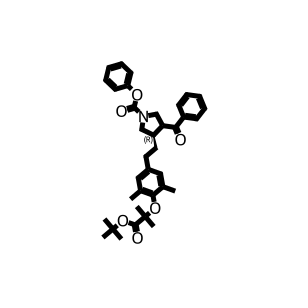 Cc1cc(CC[C@H]2CN(C(=O)Oc3ccccc3)CC2C(=O)c2ccccc2)cc(C)c1OC(C)(C)C(=O)OC(C)(C)C